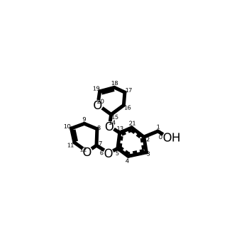 OCc1ccc(OC2CCC=CO2)c(OC2CCC=CO2)c1